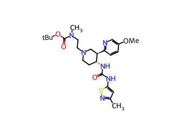 COc1ccc([C@@H]2CN(CCN(C)C(=O)OC(C)(C)C)CC[C@H]2NC(=O)Nc2cc(C)ns2)nc1